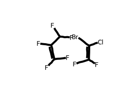 FC(F)=C(Cl)Br.FC(F)=C(F)C(F)F